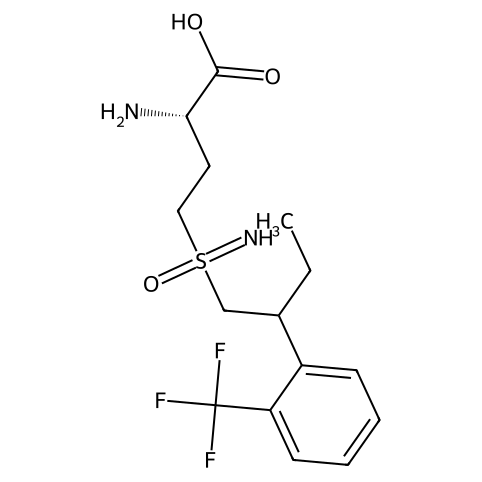 CCC(CS(=N)(=O)CC[C@H](N)C(=O)O)c1ccccc1C(F)(F)F